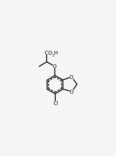 CC(Oc1ccc(Cl)c2c1OCO2)C(=O)O